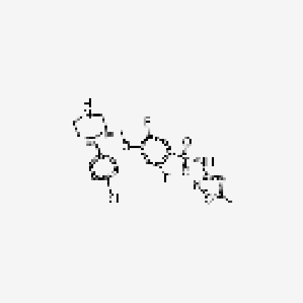 Cc1cc(NS(=O)(=O)c2cc(F)c(OC[C@H]3CNCC[C@@H]3c3ccc(Cl)cc3)cc2F)no1